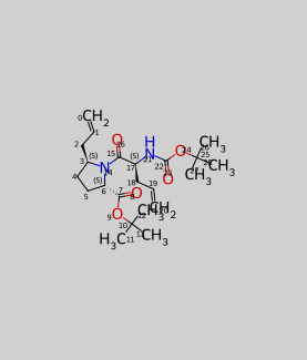 C=CC[C@@H]1CC[C@@H](C(=O)OC(C)(C)C)N1C(=O)[C@H](CC=C)NC(=O)OC(C)(C)C